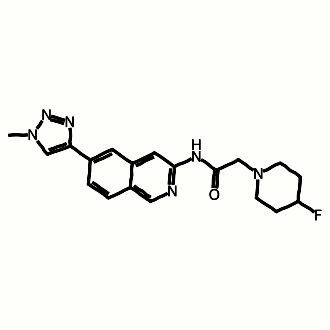 Cn1cc(-c2ccc3cnc(NC(=O)CN4CCC(F)CC4)cc3c2)nn1